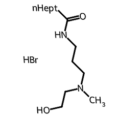 Br.CCCCCCCC(=O)NCCCN(C)CCO